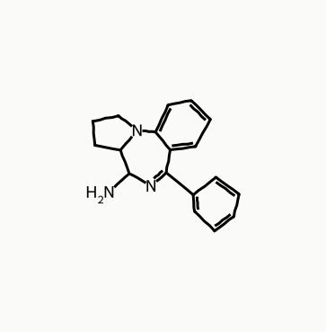 NC1N=C(c2ccccc2)c2ccccc2N2CCCC12